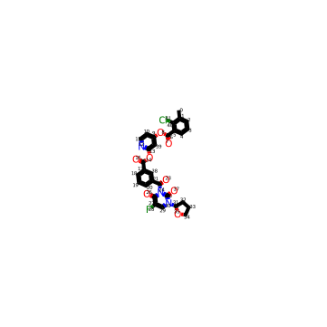 Cc1cccc(C(=O)Oc2ccnc(OC(=O)c3cccc(C(=O)n4c(=O)c(F)cn(C5CCCO5)c4=O)c3)c2)c1Cl